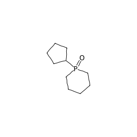 O=P1(C2CCCC2)CCCCC1